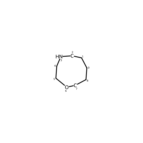 C1CCNCCOCC1